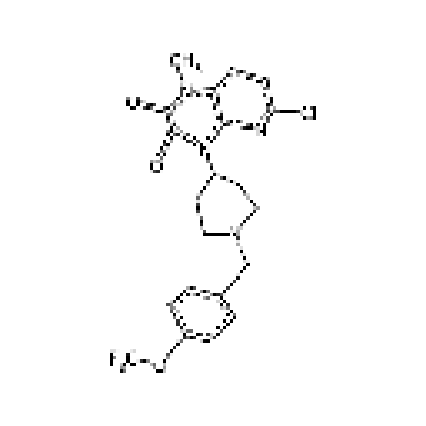 Cn1c(=O)c(=O)n(C2CCN(Cc3ccc(OC(F)(F)F)cc3)CC2)c2nc(Cl)ccc21